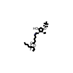 C=CC(OC(=O)CCC/C=C\C[C@@H]1[C@@H](C=C)[C@H](O[Si](C)(C)C(C)(C)C)C[C@@H]1O)C(F)(F)CCCC